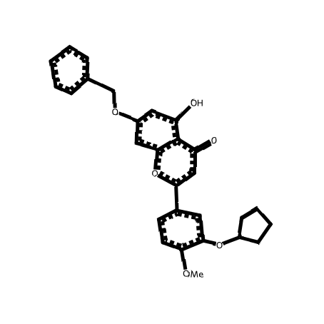 COc1ccc(-c2cc(=O)c3c(O)cc(OCc4ccccc4)cc3o2)cc1OC1CCCC1